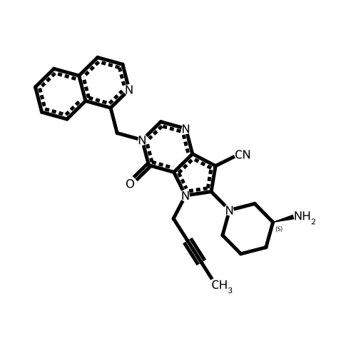 CC#CCn1c(N2CCC[C@H](N)C2)c(C#N)c2ncn(Cc3nccc4ccccc34)c(=O)c21